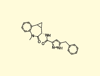 CN1C(=O)[C@@H](NC(=O)c2cc(Cc3ccccc3)[nH]n2)C2CC2c2ccccc21